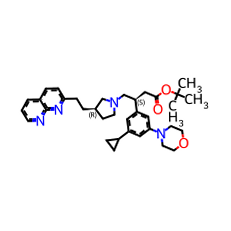 CC(C)(C)OC(=O)C[C@H](CN1CC[C@@H](CCc2ccc3cccnc3n2)C1)c1cc(C2CC2)cc(N2CCOCC2)c1